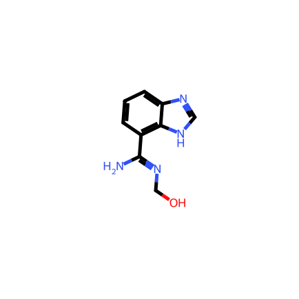 NC(=NCO)c1cccc2nc[nH]c12